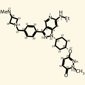 CCNc1cc2c(cn1)c(-c1ccc(CN3CC(NC)C3)cc1)nn2[C@H]1CC[C@@H](Oc2ccc(=O)n(C)n2)CC1